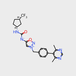 Cc1ncnc(C)c1-c1ccc(C[n+]2cc([N-]C(=O)N[C@@H]3CC[C@@H](C(F)(F)F)C3)on2)cc1